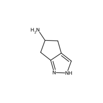 NC1Cc2c[nH]nc2C1